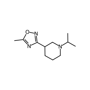 Cc1nc(C2CCCN(C(C)C)C2)no1